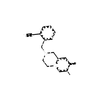 N#Cc1ccccc1CN1CCn2cc(O)c(=O)cc2C1